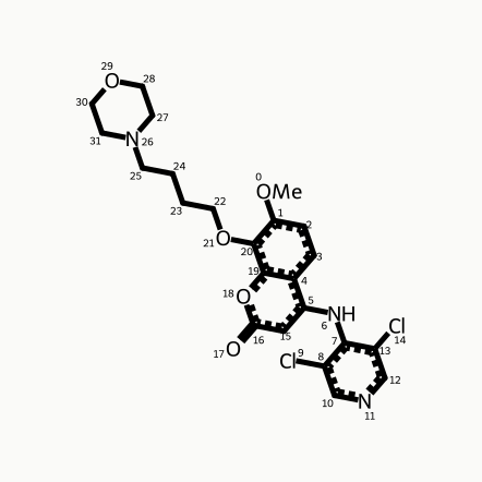 COc1ccc2c(Nc3c(Cl)cncc3Cl)cc(=O)oc2c1OCCCCN1CCOCC1